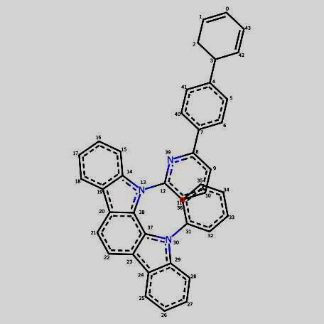 C1=CCC(c2ccc(-c3cccc(-n4c5ccccc5c5ccc6c7ccccc7n(-c7ccccc7)c6c54)n3)cc2)C=C1